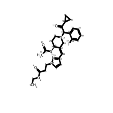 CCOC(=O)CCn1ccc(C=C2CN(C(C(=O)C3CC3)c3ccccc3F)CC[C@@H]2SC(C)=O)n1